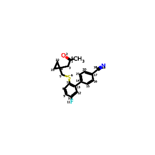 CC(=O)CC1(CSc2ccc(F)cc2-c2ccc(C#N)cc2)CC1